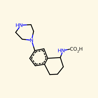 O=C(O)NC1CCCc2ccc(N3CCNCC3)cc21